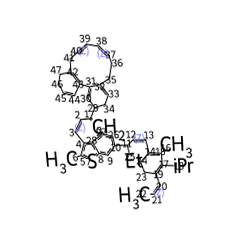 C=C(/C=C\c1c(C)sc2cc(C(/C=C\C3=C(C)C(C(C)C)=C(/C=C\C)CC3)CC)ccc12)C1C=C2C(=CC1)CC/C=C\C=C/CC1=C2C=CCC1